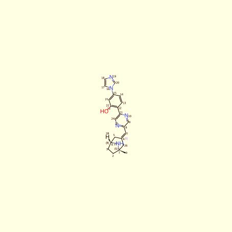 C[C@]12CC[C@H](C/C(=C\c3cnc(-c4ccc(-n5ccnc5)cc4O)cn3)C1)N2